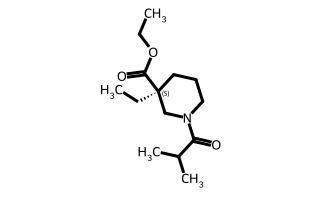 CCOC(=O)[C@@]1(CC)CCCN(C(=O)C(C)C)C1